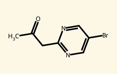 CC(=O)Cc1ncc(Br)cn1